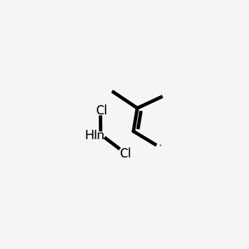 [CH2]C=C(C)C.[Cl][InH][Cl]